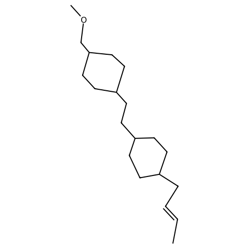 C/C=C/CC1CCC(CCC2CCC(COC)CC2)CC1